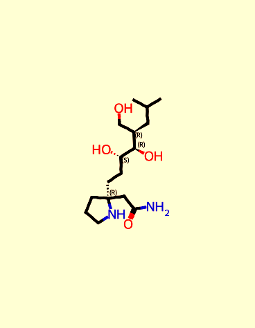 CC(C)C[C@H](CO)[C@@H](O)[C@@H](O)CC[C@@]1(CC(N)=O)CCCN1